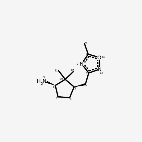 Cc1nc(C[C@H]2CC[C@@H](N)C2(C)C)no1